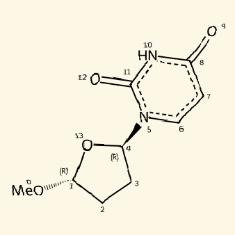 CO[C@H]1CC[C@H](n2ccc(=O)[nH]c2=O)O1